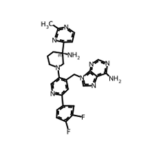 Cc1nccc([C@@]2(N)CCCN(c3cnc(-c4ccc(F)c(F)c4)cc3Cn3cnc4c(N)ncnc43)C2)n1